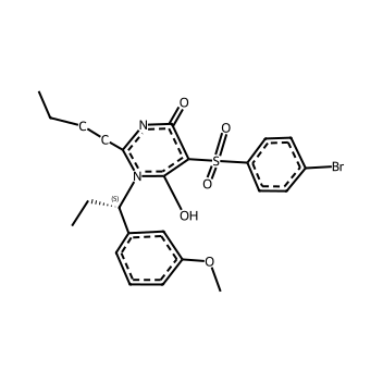 CCCCc1nc(=O)c(S(=O)(=O)c2ccc(Br)cc2)c(O)n1[C@@H](CC)c1cccc(OC)c1